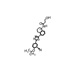 CC(C)Oc1ccc(-c2nnc(-c3cccc4c3CCC[C@@H]4NC(=O)CCO)s2)cc1C#N